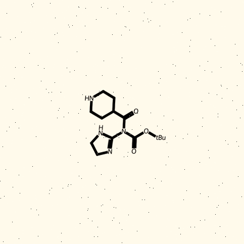 CC(C)(C)OC(=O)N(C(=O)C1CCNCC1)C1=NCCN1